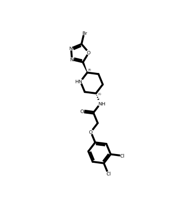 O=C(COc1ccc(Cl)c(Cl)c1)N[C@H]1CC[C@H](c2nnc(Br)o2)NC1